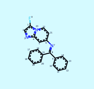 Fc1cnc2cc(N=C(c3ccccc3)c3ccccc3)ccn12